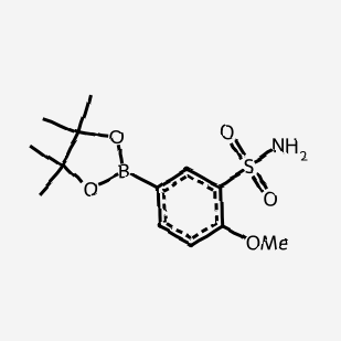 COc1ccc(B2OC(C)(C)C(C)(C)O2)cc1S(N)(=O)=O